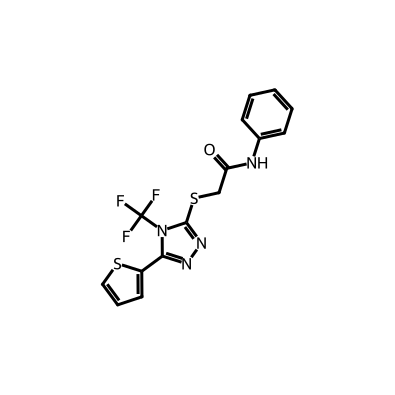 O=C(CSc1nnc(-c2cccs2)n1C(F)(F)F)Nc1ccccc1